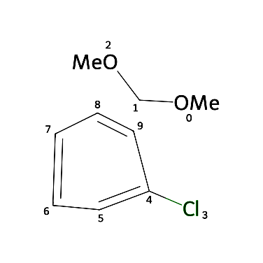 COCOC.Clc1ccccc1